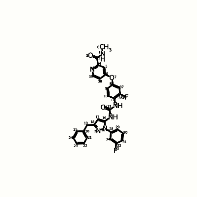 CNC(=O)c1cc(Oc2ccc(NC(=O)Nc3cc(Cc4ccccc4)nn3-c3cccc(F)c3)c(F)c2)ccn1